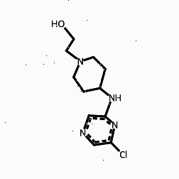 OCCN1CCC(Nc2cncc(Cl)n2)CC1